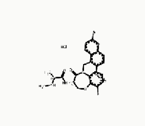 CN[C@@H](C)C(=O)N[C@H]1COc2c(F)cccc2N(Cc2c(OC)ccc3cc(Br)ccc23)C1=O.Cl